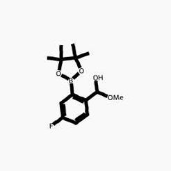 COC(O)c1ccc(F)cc1B1OC(C)(C)C(C)(C)O1